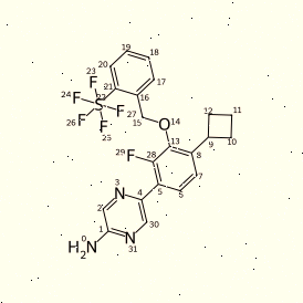 Nc1cnc(-c2ccc(C3CCC3)c(OCc3ccccc3S(F)(F)(F)(F)F)c2F)cn1